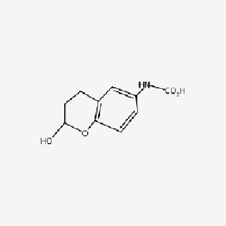 O=C(O)Nc1ccc2c(c1)CCC(O)O2